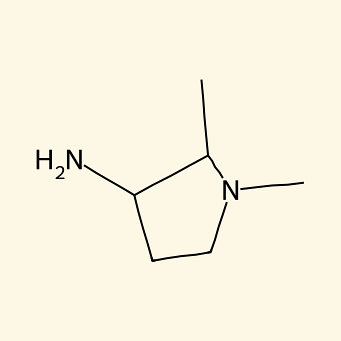 CC1C(N)CCN1C